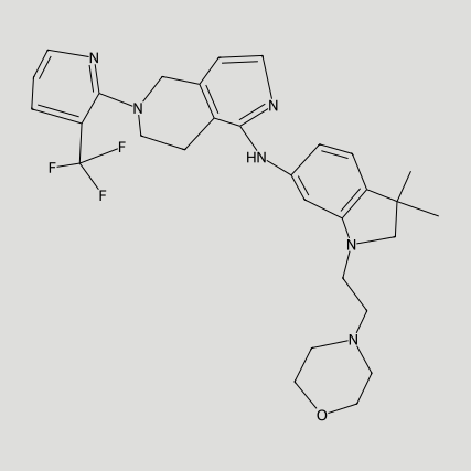 CC1(C)CN(CCN2CCOCC2)c2cc(Nc3nccc4c3CCN(c3ncccc3C(F)(F)F)C4)ccc21